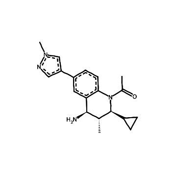 CC(=O)N1c2ccc(-c3cnn(C)c3)cc2[C@H](N)[C@@H](C)[C@@H]1C1CC1